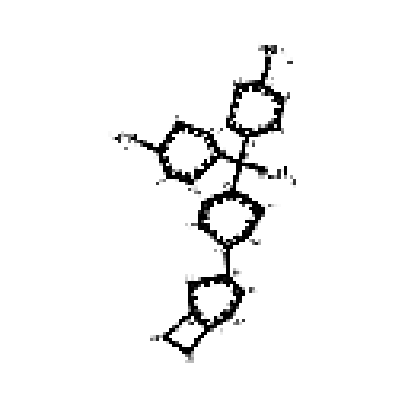 Bc1ccc(C(C)(c2ccc(B)cc2)c2ccc(-c3ccc4c(c3)CC4)cc2)cc1